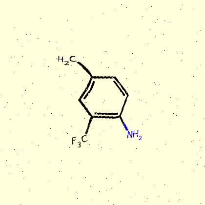 [CH2]c1ccc(N)c(C(F)(F)F)c1